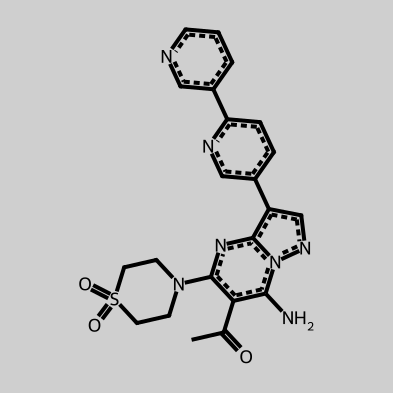 CC(=O)c1c(N2CCS(=O)(=O)CC2)nc2c(-c3ccc(-c4cccnc4)nc3)cnn2c1N